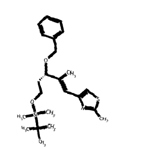 C/C(=C\c1csc(C)n1)[C@H](CCO[Si](C)(C)C(C)(C)C)OCc1ccccc1